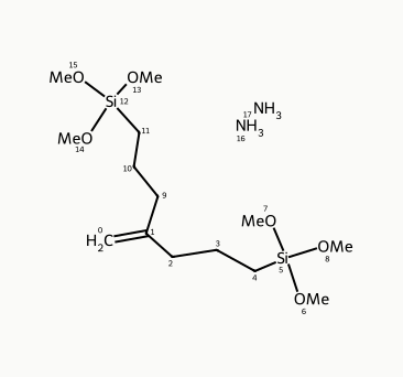 C=C(CCC[Si](OC)(OC)OC)CCC[Si](OC)(OC)OC.N.N